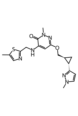 Cc1cnc(CNc2cc(OC[C@H]3C[C@@H]3c3ccn(C)n3)nn(C)c2=O)s1